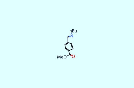 CCCCN=Cc1ccc(C(=O)OC)cc1